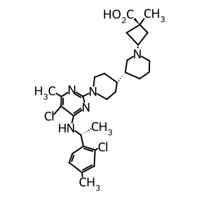 Cc1ccc([C@@H](C)Nc2nc(N3CCC([C@H]4CCCN([C@H]5C[C@](C)(C(=O)O)C5)C4)CC3)nc(C)c2Cl)c(Cl)c1